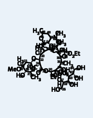 CCOC(=O)CCC(=O)O[C@H]1[C@H](O[C@@H]2[C@@H](C)[C@H](O[C@H]3C[C@@](C)(OC)[C@@H](O)[C@H](C)O3)[C@@H](C)C(=O)O[C@H](CC)[C@@](C)(O)[C@H](O)[C@@H](C)C(=O)[C@H](C)C[C@@]2(C)O)O[C@H](C)C[C@@H]1N(C)C.OC[C@@H](O)[C@@H](O)[C@H](O)[C@@H](O)CO